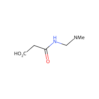 CNCNC(=O)CC(=O)O